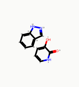 O=c1[nH]cccc1O.c1ccc2[nH]ncc2c1